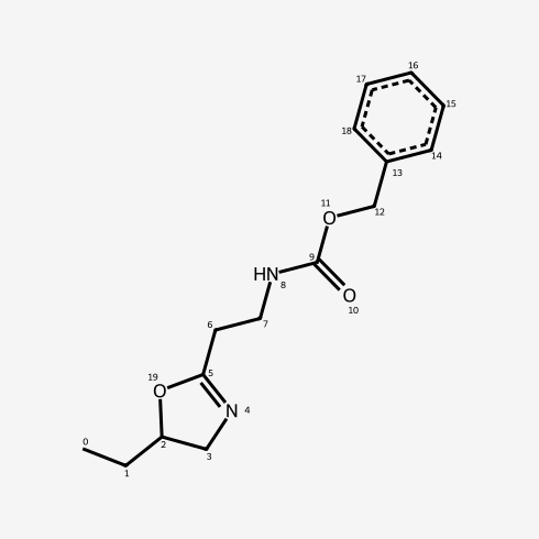 CCC1CN=C(CCNC(=O)OCc2ccccc2)O1